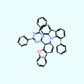 C1=CC(n2c3ccccc3c3cccc(-c4ccccc4)c32)C(c2nc(-c3ccccc3)nc(-c3ccccc3)n2)c2oc3ccccc3c21